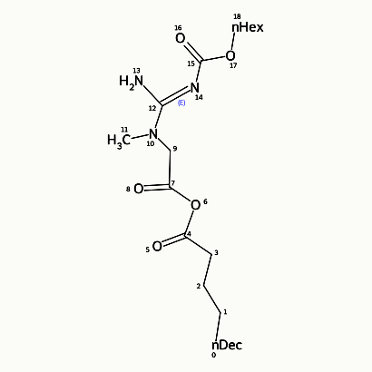 CCCCCCCCCCCCCC(=O)OC(=O)CN(C)/C(N)=N/C(=O)OCCCCCC